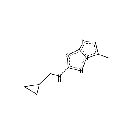 Ic1cnc2sc(NCC3CC3)nn12